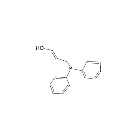 OC=CCP(c1ccccc1)c1ccccc1